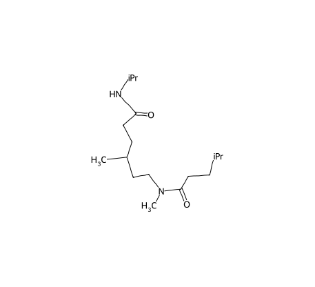 CC(C)CCC(=O)N(C)CCC(C)CCC(=O)NC(C)C